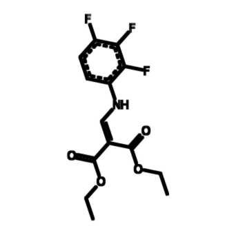 CCOC(=O)C(=CNc1ccc(F)c(F)c1F)C(=O)OCC